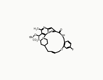 Cc1nc2cc3nn2c(c1[C@H](OC(C)(C)C)C(=O)O)N1CCC(C/C=C/COc2cc(F)ccc2CNC3=O)CC1